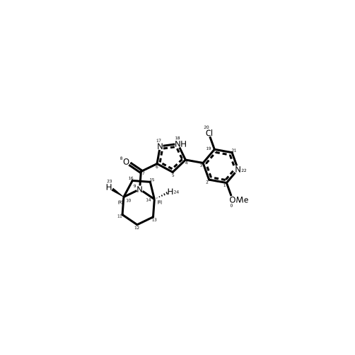 COc1cc(-c2cc(C(=O)N3[C@@H]4CCC[C@@H]3CC4)n[nH]2)c(Cl)cn1